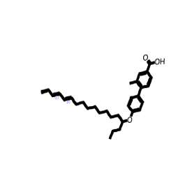 C=C/C=C/C=C/CCCCCCCCC(CCC)Oc1ccc(-c2ccc(C(=O)O)cc2C)cc1